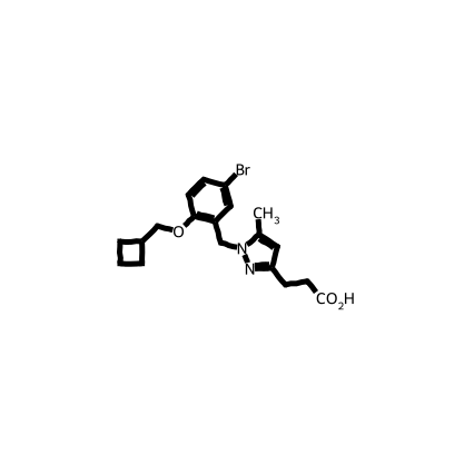 Cc1cc(CCC(=O)O)nn1Cc1cc(Br)ccc1OCC1CCC1